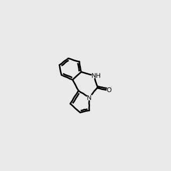 O=c1[nH]c2ccccc2c2cccn12